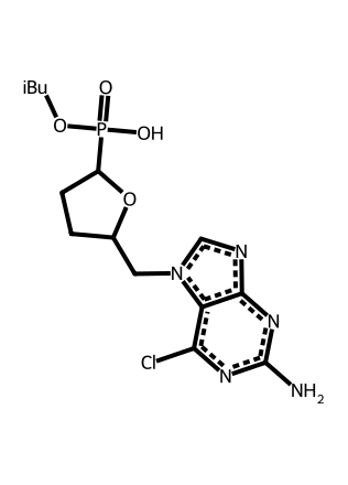 CCC(C)OP(=O)(O)C1CCC(Cn2cnc3nc(N)nc(Cl)c32)O1